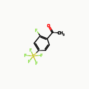 CC(=O)c1ccc(S(F)(F)(F)(F)F)cc1F